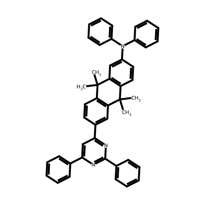 CC1(C)c2ccc(N(c3ccccc3)c3ccccc3)cc2C(C)(C)c2ccc(-c3cc(-c4ccccc4)nc(-c4ccccc4)n3)cc21